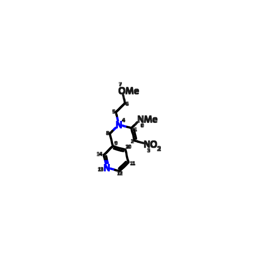 CNC(=C[N+](=O)[O-])N(CCOC)Cc1cccnc1